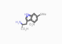 CSc1cc([N+](=O)[O-])c2c(C[C@H](N)C(=O)O)c[nH]c2c1